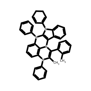 CC1=C(c2ccccc2C)B2c3c(cccc3N(c3ccccc3)c3c2c2ccccc2n3C2=CCCC=C2)N1c1ccccc1